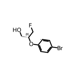 OC[C@H](CF)Oc1[c]cc(Br)cc1